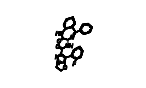 O=C(N[C@H]1N=C(c2ccccc2)c2ccccc2NC1=O)c1nn2c(c1-c1ccccc1F)OCC2